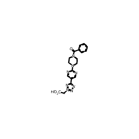 O=C(O)Cn1nnc(-c2cnc(N3CCN(C(=O)c4ccccc4)CC3)nc2)n1